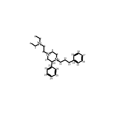 CCN(CC)CCN1CCN(CCCc2ccccc2)C(c2ccccc2)C1